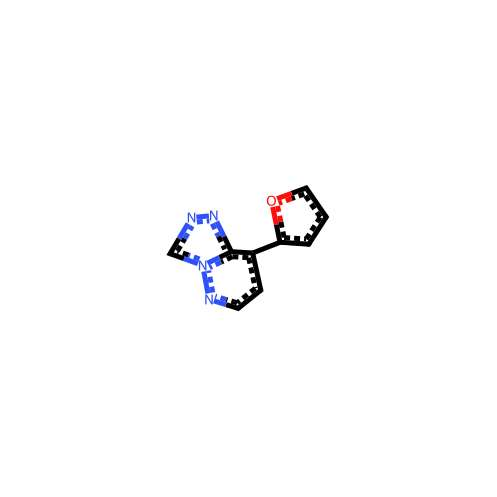 c1coc(-c2ccnn3cnnc23)c1